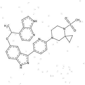 CC(Oc1ccc2[nH]nc(-c3ccc(N4CCN(S(C)(=O)=O)C5(CC5)C4)nc3)c2c1)c1ccnc2[nH]ccc12